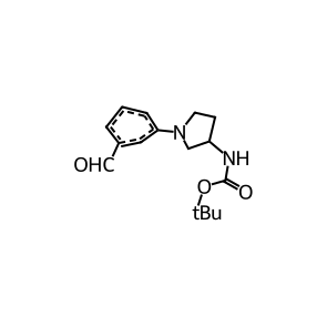 CC(C)(C)OC(=O)NC1CCN(c2cccc(C=O)c2)C1